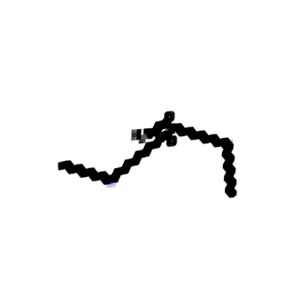 CCCCCCCC/C=C\CCCCCCCCn1c(N)cc(=O)n(CCCCCCCC/C=C\CCCCCCCC)c1=O